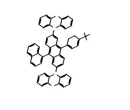 CC(C)(C)C1=CC=C(c2c3cc(N4c5ccccc5Sc5ccccc54)ccc3c(-c3cccc4ccccc34)c3cc(N4c5ccccc5Sc5ccccc54)ccc23)CC1